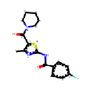 Cc1nc(NC(=O)c2ccc(F)cc2)sc1C(=O)N1CCCCC1